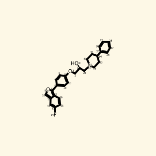 O[C@H](COc1ccc(-c2occ3cc(F)ccc23)cc1)CN1CCC(c2ccccc2)CC1